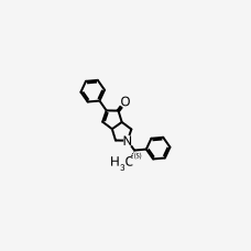 C[C@@H](c1ccccc1)N1CC2C=C(c3ccccc3)C(=O)C2C1